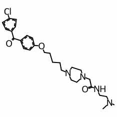 CN(C)CCNC(=O)CN1CCN(CCCCCOc2ccc(C(=O)c3ccc(Cl)cc3)cc2)CC1